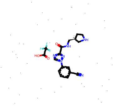 N#Cc1cccc(-n2cnc(C(=O)NC[C@H]3CCNC3)n2)c1.O=C(O)C(F)(F)F